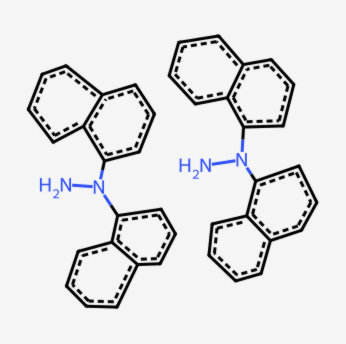 NN(c1cccc2ccccc12)c1cccc2ccccc12.NN(c1cccc2ccccc12)c1cccc2ccccc12